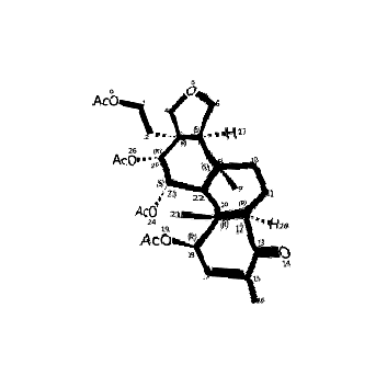 CC(=O)OCC[C@]12COC[C@H]1[C@]1(C)CC[C@H]3C(=O)C(C)=C[C@@H](OC(C)=O)[C@]3(C)C1[C@H](OC(C)=O)[C@@H]2OC(C)=O